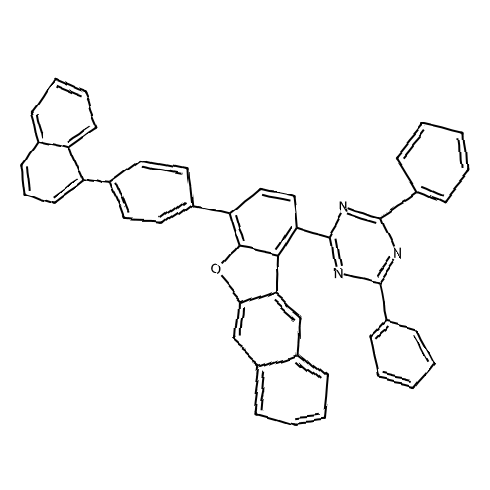 c1ccc(-c2nc(-c3ccccc3)nc(-c3ccc(-c4ccc(-c5cccc6ccccc56)cc4)c4oc5cc6ccccc6cc5c34)n2)cc1